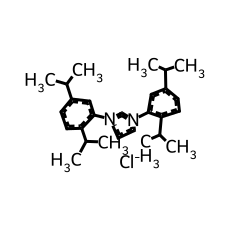 CC(C)c1ccc(C(C)C)c(-n2cc[n+](-c3cc(C(C)C)ccc3C(C)C)c2)c1.[Cl-]